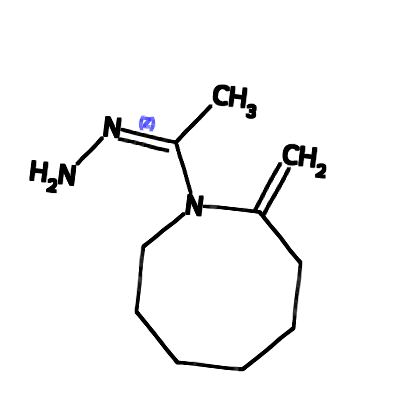 C=C1CCCCCCN1/C(C)=N\N